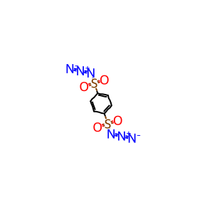 [N-]=[N+]=NS(=O)(=O)c1ccc(S(=O)(=O)N=[N+]=[N-])cc1